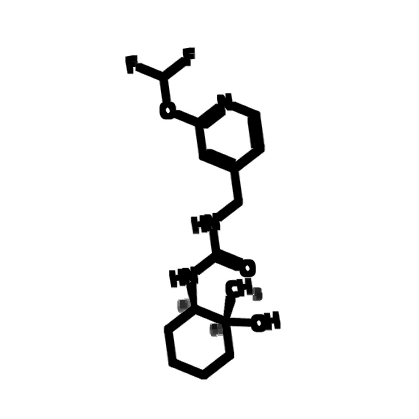 C[C@@]1(O)CCCC[C@H]1NC(=O)NCc1ccnc(OC(F)F)c1